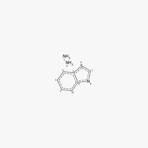 N.N.c1ccc2scnc2c1